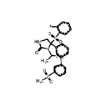 CC(C)N1C(=O)NCC1(c1cccc(-c2cccc(S(C)(=O)=O)c2)c1)S(=O)(=O)c1ccccc1F